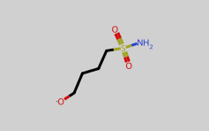 NS(=O)(=O)CCCC[O]